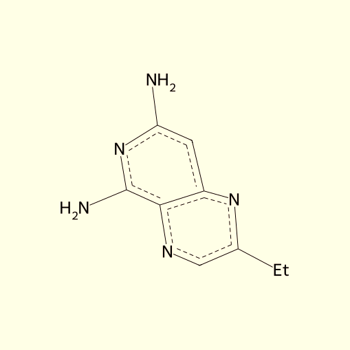 CCc1cnc2c(N)nc(N)cc2n1